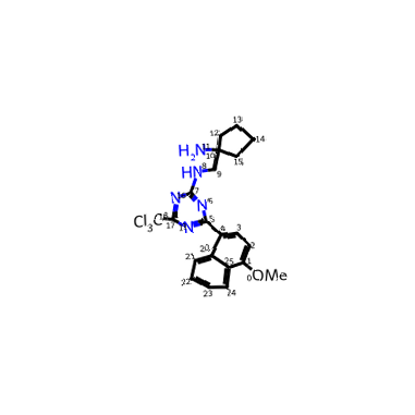 COc1ccc(-c2nc(NCC3(N)CCCC3)nc(C(Cl)(Cl)Cl)n2)c2ccccc12